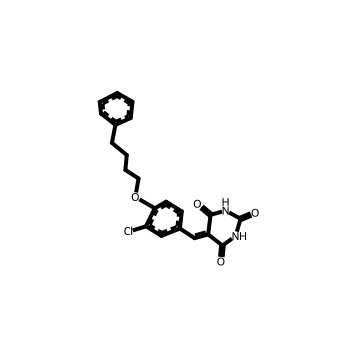 O=C1NC(=O)C(=Cc2ccc(OCCCCc3ccccc3)c(Cl)c2)C(=O)N1